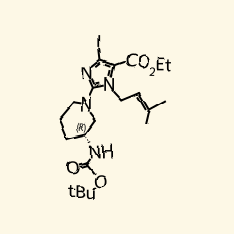 CCOC(=O)c1c(I)nc(N2CCC[C@@H](NC(=O)OC(C)(C)C)C2)n1CC=C(C)C